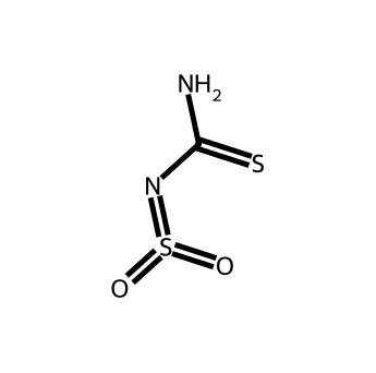 NC(=S)N=S(=O)=O